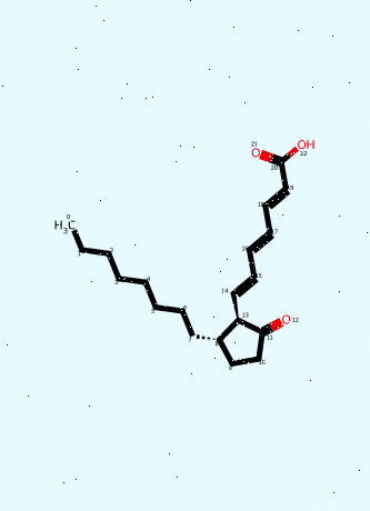 CCCCCCCC[C@H]1CCC(=O)[C@@H]1C=CC=CC=CC(=O)O